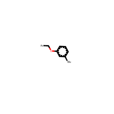 CC(=O)COc1cccc(C(C)(C)C)c1